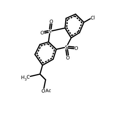 CC(=O)OCC(C)c1ccc2c(c1)S(=O)(=O)c1cc(Cl)ccc1S2(=O)=O